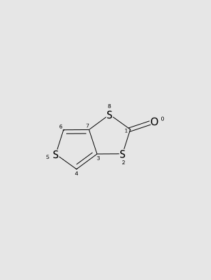 O=c1sc2cscc2s1